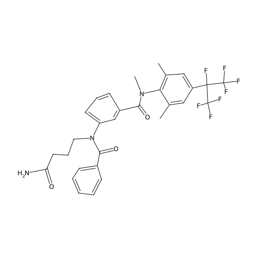 Cc1cc(C(F)(C(F)(F)F)C(F)(F)F)cc(C)c1N(C)C(=O)c1cccc(N(CCCC(N)=O)C(=O)c2ccccc2)c1